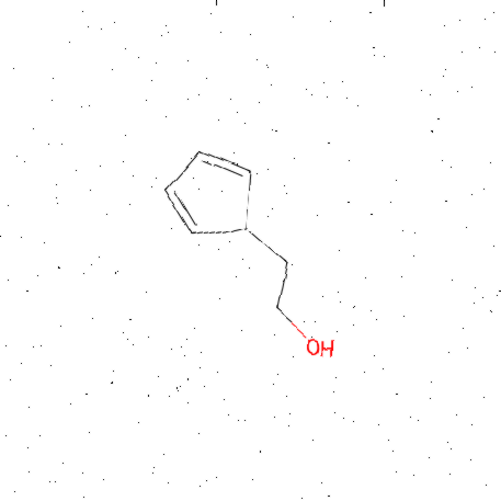 OCCC1C=CC=C1